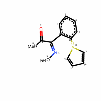 CNC(=O)C(=NOC)c1ccccc1[SH]1C=CC=C1